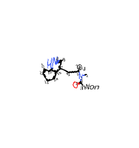 CCCCCCCCCC(=O)N(C)[C@@H](Cc1c[nH]c2ccccc12)C(C)(C)C